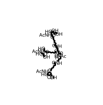 CC(=O)NC1C(OCCCCCC(=O)NCCCCC(NC(=O)C(CCCCNC(=O)CCCCCOC2OC(CO)C(O)C(O)C2NC(C)=O)NC(=O)CCCCCOC(OC(CO)[C@@H](C)O)[C@H](CO)NC(C)=O)C(C)=O)CC(CO)C(O)C1O